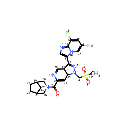 CS(=O)(=O)CN1N=C(c2cnc3c(F)cc(F)cn23)C2C=NC(C(=O)N3CC4CCC(C4)C3)=CC21